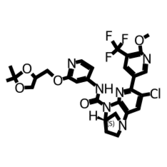 COc1ncc(-c2nc3c(cc2Cl)N2CC[C@@H](C2)N3C(=O)Nc2ccnc(OCC3COC(C)(C)O3)c2)cc1C(F)(F)F